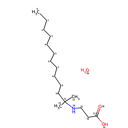 CCCCCCCCCCCC(C)(C)NCCC(=O)O.O